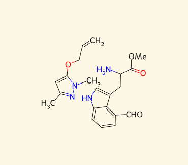 C=CCOc1cc(C)nn1C.COC(=O)C(N)Cc1c[nH]c2cccc(C=O)c12